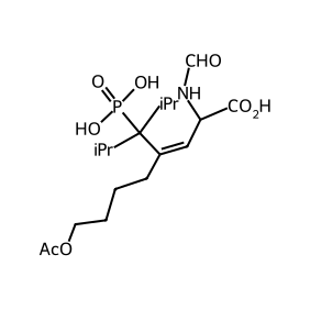 CC(=O)OCCCCC(=CC(NC=O)C(=O)O)C(C(C)C)(C(C)C)P(=O)(O)O